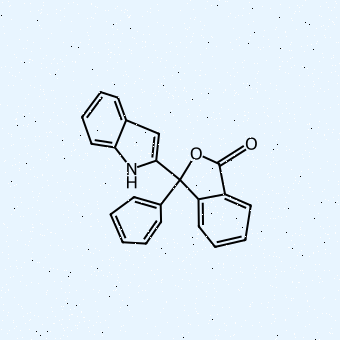 O=C1OC(c2ccccc2)(c2cc3ccccc3[nH]2)c2ccccc21